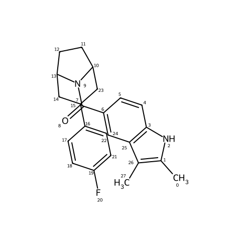 Cc1[nH]c2ccc(C(=O)N3C4CCC3CC(c3ccc(F)cc3)C4)cc2c1C